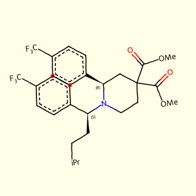 COC(=O)C1(C(=O)OC)CCN([C@@H](CCC(C)C)c2ccc(C(F)(F)F)cc2)[C@@H](c2ccc(C(F)(F)F)cc2)C1